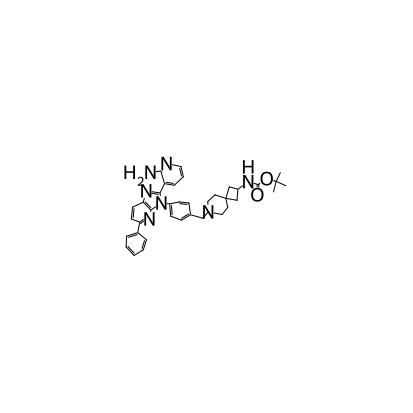 CC(C)(C)OC(=O)NC1CC2(CCN(Cc3ccc(-n4c(-c5cccnc5N)nc5ccc(-c6ccccc6)nc54)cc3)CC2)C1